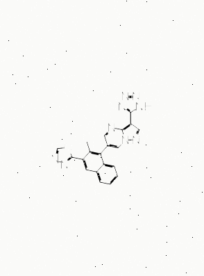 Cc1c(-c2nnco2)cc2ccccc2c1-c1cnc2c(-c3nnn[nH]3)cnn2c1